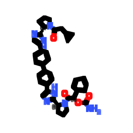 NC(=O)O[C@@H](C(=O)N1CCC[C@H]1c1ncc(-c2ccc(-c3ccc(-c4cnc([C@@H]5CCCN5C(=O)CC5CC5)[nH]4)cc3)cc2)[nH]1)c1ccccc1